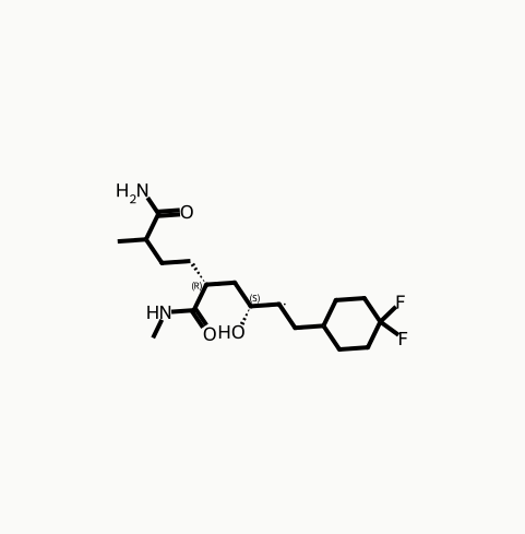 CNC(=O)[C@H](CCC(C)C(N)=O)C[C@@H](O)[CH]CC1CCC(F)(F)CC1